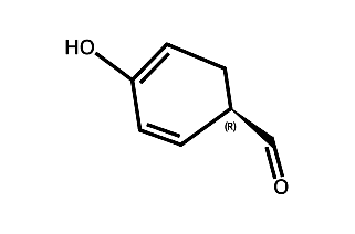 O=C[C@H]1C=CC(O)=CC1